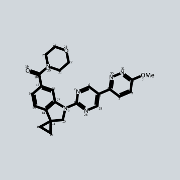 COc1ccc(-c2cnc(N3CC4(CC4)c4ccc(C(=O)N5CCOCC5)cc43)nc2)nn1